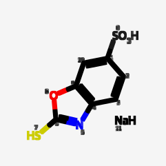 O=S(=O)(O)c1ccc2nc(S)oc2c1.[NaH]